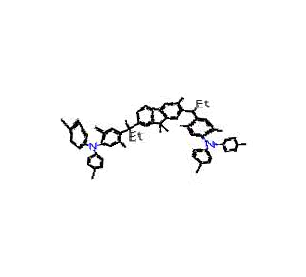 CCC(c1cc(C)c(N(c2ccc(C)cc2)c2ccc(C)cc2)cc1C)c1cc2c(cc1C)-c1ccc(C(C)(CC)c3cc(C)c(N(c4ccc(C)cc4)c4ccc(C)cc4)cc3C)cc1C2(C)C